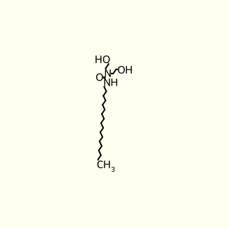 CCCCCCCCCCCCCCCCCCNC(=O)N(CCO)CCO